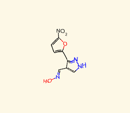 O=[N+]([O-])c1ccc(-c2n[nH]cc2C=NO)o1